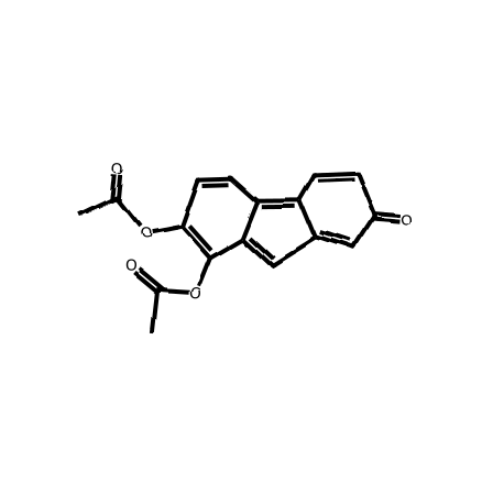 CC(=O)Oc1ccc2c(c1OC(C)=O)=CC1=CC(=O)C=CC=21